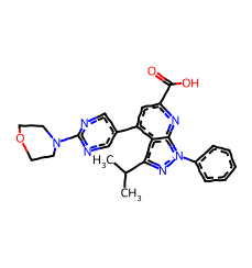 CC(C)c1nn(-c2ccccc2)c2nc(C(=O)O)cc(-c3cnc(N4CCOCC4)nc3)c12